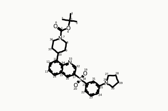 CC(C)(C)OC(=O)N1CCC(c2cccc3cc(S(=O)(=O)c4cccc(N5CCCC5)c4)cnc23)CC1